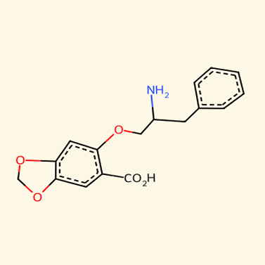 NC(COc1cc2c(cc1C(=O)O)OCO2)Cc1ccccc1